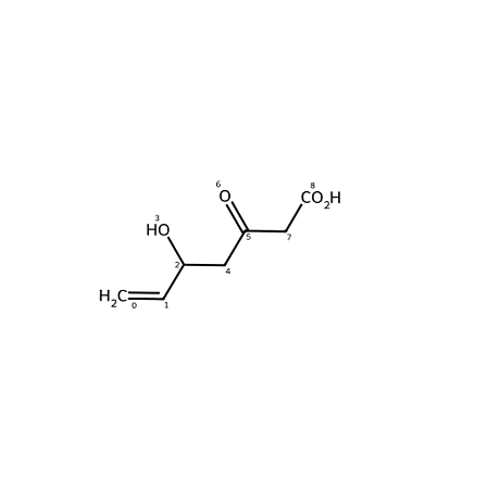 C=CC(O)CC(=O)CC(=O)O